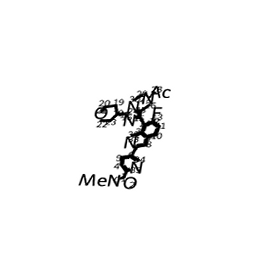 CNC(=O)c1ccc(-c2cc3ccc(F)c(-c4nc(C5CCOCC5)n5c4CN(C(C)=O)CC5)c3cn2)cn1